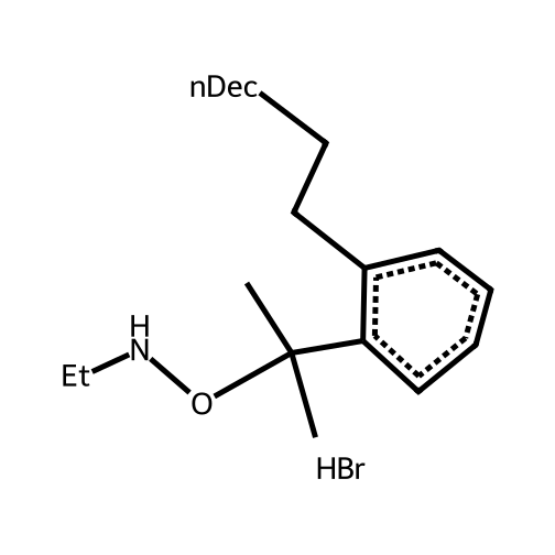 Br.CCCCCCCCCCCCc1ccccc1C(C)(C)ONCC